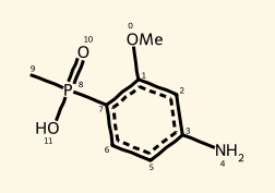 COc1cc(N)ccc1P(C)(=O)O